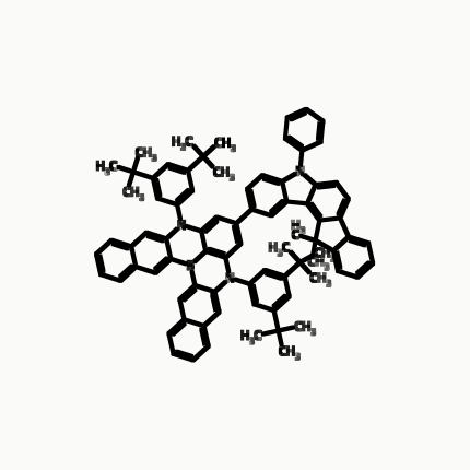 CC(C)(C)c1cc(N2c3cc4ccccc4cc3B3c4cc5ccccc5cc4N(c4cc(C(C)(C)C)cc(C(C)(C)C)c4)c4cc(-c5ccc6c(c5)c5c7c(ccc5n6-c5ccccc5)-c5ccccc5C7(C)C)cc2c43)cc(C(C)(C)C)c1